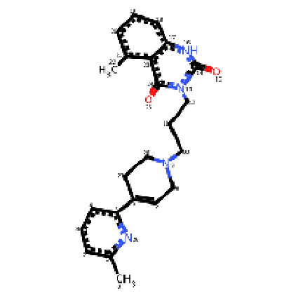 Cc1cccc(C2=CCN(CCCn3c(=O)[nH]c4cccc(C)c4c3=O)CC2)n1